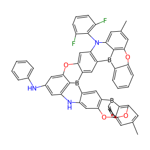 Cc1cc2c3c(c1)Oc1cc4c(cc1B3c1ccccc1O2)B1c2cc3c(cc2Oc2cc(Nc5ccccc5)cc(c21)N4)N(c1c(F)cccc1F)c1cc(C)cc2c1B3c1ccccc1O2